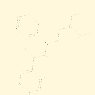 CCN(CC)CCN(CC(O)c1ccccc1)c1ccc(Cl)cc1